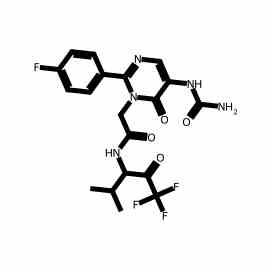 CC(C)C(NC(=O)Cn1c(-c2ccc(F)cc2)ncc(NC(N)=O)c1=O)C(=O)C(F)(F)F